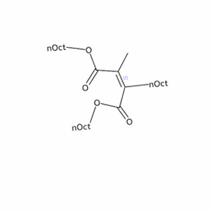 CCCCCCCCOC(=O)/C(C)=C(/CCCCCCCC)C(=O)OCCCCCCCC